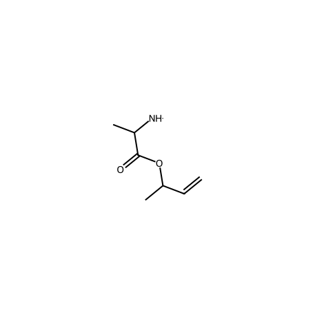 C=CC(C)OC(=O)C(C)[NH]